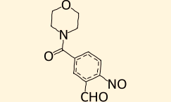 O=Cc1cc(C(=O)N2CCOCC2)ccc1N=O